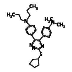 CCCN(CCC)c1ccc(-c2nnc(SC3CCCC3)nc2-c2ccc(N(C)C)cc2)cc1